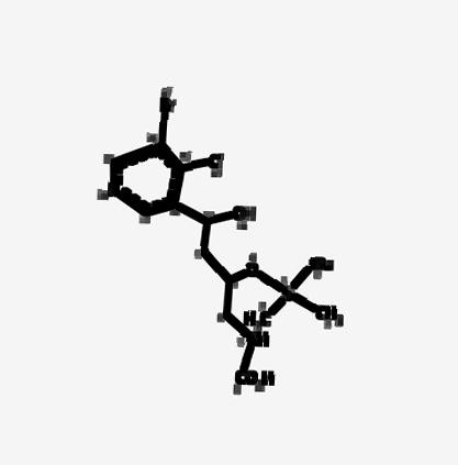 CC(C)(C)[Si](C)(C)OC(CNC(=O)O)CC(O)c1cncc(Br)c1Cl